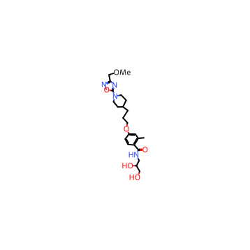 COCc1noc(N2CCC(CCCOc3ccc(C(=O)NCC(O)CO)c(C)c3)CC2)n1